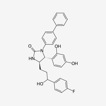 O=C1N[C@H](CCC(O)c2ccc(F)cc2)[C@@H](c2ccc(O)cc2O)N1c1ccc(-c2ccccc2)cc1